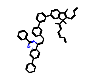 C=C/C=C\C=C(/C)C1(C)C(/C=C\C=C)=C(C)c2ccc(-c3cccc(-c4cccc(C/C=C(\N=C(/N)c5ccccc5)c5ccc(C6=CCCC=C6)cc5)c4)c3)cc21